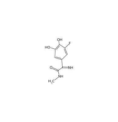 CNC(=O)C(=N)c1cc(O)c(O)c(F)c1